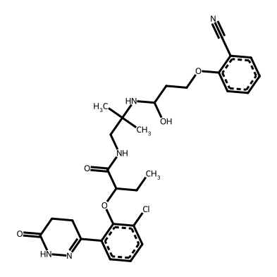 CCC(Oc1c(Cl)cccc1C1=NNC(=O)CC1)C(=O)NCC(C)(C)NC(O)CCOc1ccccc1C#N